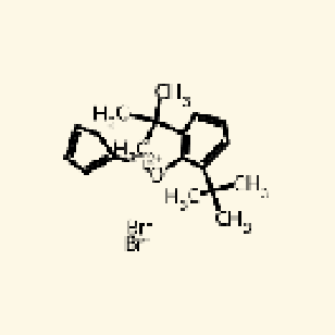 CC(C)(C)c1cccc(C(C)(C)C)c1[O][Ti+2][C]1=CC=CC1.[Br-].[Br-]